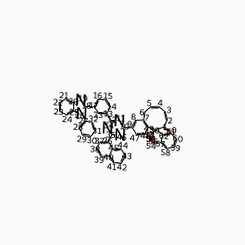 C=C1/C=C\C=C/Cc2cc(-c3nc(-c4cccc(-c5nc6ccccc6n5-c5ccccc5)c4)nc(-c4cccc5ccccc45)n3)ccc2C12c1ccccc1-c1ccccc12